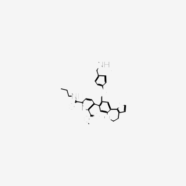 CCCNC(=O)c1ccc(-c2cc3c(cc2COc2ccc(CN)cc2)-c2sccc2CCO3)c(C(=O)OC)n1